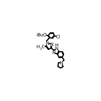 Cc1cc(-c2nc3cc(CN4CCCC4)ccc3[nH]2)nn1Cc1cc(Cl)ccc1OCC(C)C